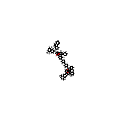 CC1(C)CCC(C)(C)c2cc(-c3ccc(N(c4ccc(-c5ccc(-c6ccc(-c7ccc(N(c8ccc9c(c8)C(C)(C)CCC9(C)C)c8ccc9c(c8)C(C)(C)c8ccccc8-9)cc7)c7c6Sc6ccccc6C76C7CC8CC(C7)C6C8)cc5)cc4)c4cccc5c4C4(c6ccccc6S5)C5CC6CC(C5)C4C6)cc3)ccc21